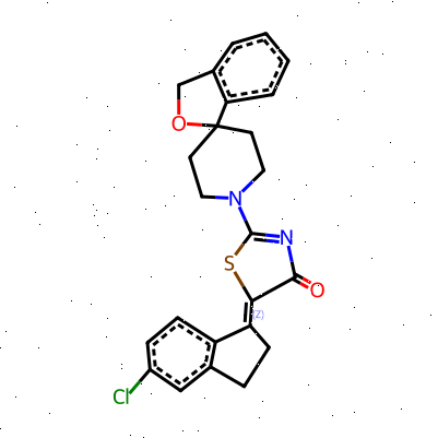 O=C1N=C(N2CCC3(CC2)OCc2ccccc23)S/C1=C1/CCc2cc(Cl)ccc21